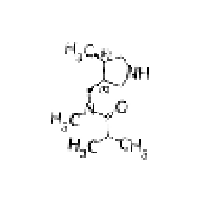 CC(C)C(=O)N(C)C[C@@H]1CNC[C@@H]1C